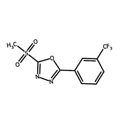 CS(=O)(=O)c1nnc(-c2cccc(C(F)(F)F)c2)o1